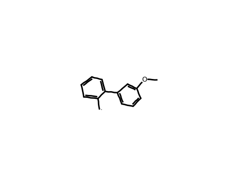 [CH2]c1ccccc1-c1cccc(OC)c1